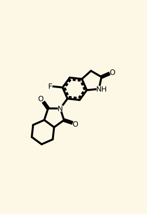 O=C1Cc2cc(F)c(N3C(=O)C4CCCCC4C3=O)cc2N1